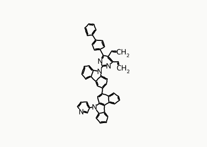 C=Cc1nc(-n2c3ccccc3c3cc(-c4cc5c(c6ccccc46)c4ccccc4n5-c4cccnc4)ccc32)nc(-c2ccc(-c3ccccc3)cc2)c1C=C